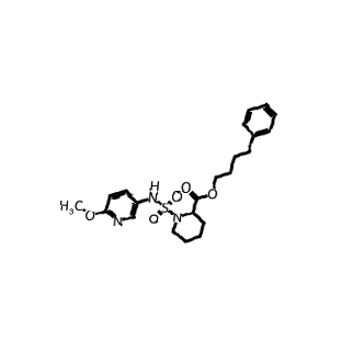 COc1ccc(NS(=O)(=O)N2CCCCC2C(=O)OCCCCc2ccccc2)cn1